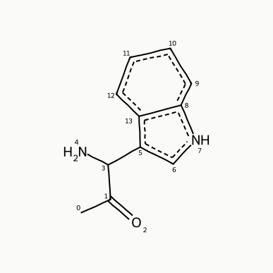 CC(=O)C(N)c1c[nH]c2ccccc12